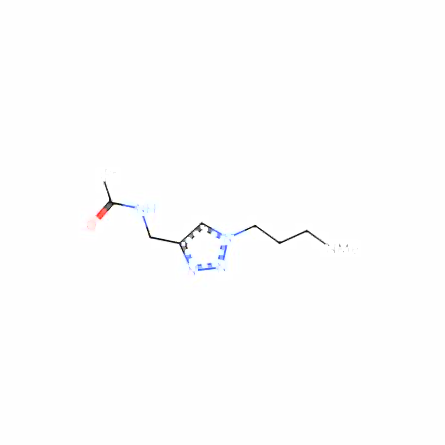 CNCCCn1cc(CNC(=O)C(C)C)nn1